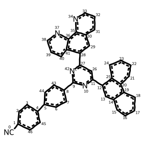 N#Cc1ccc(-c2ccc(-c3nc(-c4cc5ccccc5c5ccccc45)cc(-c4cc5cccnc5c5ncccc45)n3)cc2)cc1